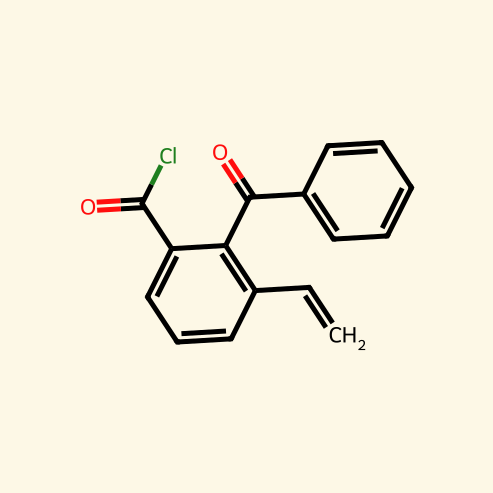 C=Cc1cccc(C(=O)Cl)c1C(=O)c1ccccc1